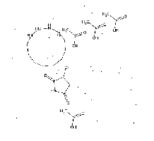 C1CCCCNNNNCCC1.CC(=O)O.CC(=O)O.CC(=O)O.CC(=O)O.O=C1CC(O)C(=O)N1